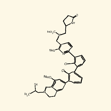 COc1cc(-c2cccc(-c3cccc(-c4ccc(CN(CC5CCC(=O)N5)C(=O)O)c(OC)n4)c3Cl)c2Cl)cc2c1CN(CC(C)O)CC2